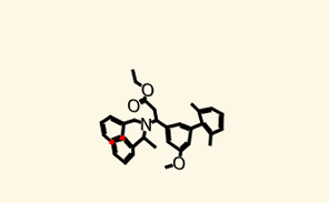 CCOC(=O)CC(c1cc(OC)cc(-c2c(C)cccc2C)c1)N(Cc1ccccc1)C(C)c1ccccc1